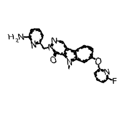 Cn1c2cc(Oc3cccc(F)n3)ccc2c2cnn(Cc3cccc(N)n3)c(=O)c21